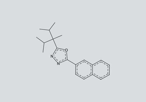 CC(C)C(C)(c1nnc(-c2ccc3ccccc3c2)o1)C(C)C